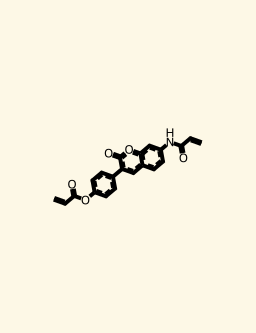 C=CC(=O)Nc1ccc2cc(-c3ccc(OC(=O)C=C)cc3)c(=O)oc2c1